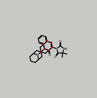 CC1(C)NC(=O)N(c2nc3ccccc3n(C3CC4CCCC(C3)N4C3CC4CCCC(C4)C3)c2=O)C1=O